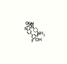 CS(=O)(=O)c1cnc2ccc(-c3cc(F)c(O)c(F)c3)cc2c1NC1CCC(N)CC1